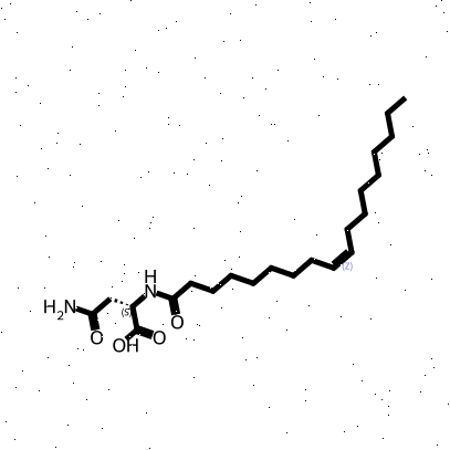 CCCCCCCC/C=C\CCCCCCCC(=O)N[C@@H](CC(N)=O)C(=O)O